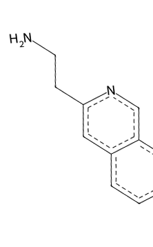 NCCc1cc2ccccc2cn1